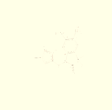 Cc1cc(CN2C(=O)C(C)(C)c3cc(N)c(N)cc32)on1